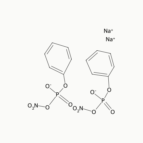 O=[N+]([O-])OP(=O)([O-])Oc1ccccc1.O=[N+]([O-])OP(=O)([O-])Oc1ccccc1.[Na+].[Na+]